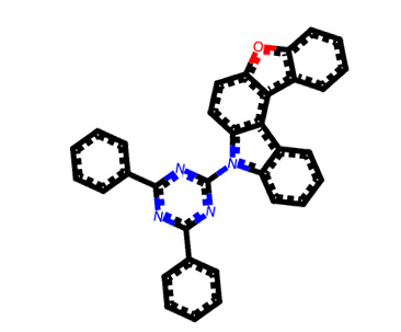 c1ccc(-c2nc(-c3ccccc3)nc(-n3c4ccccc4c4c5c(ccc43)oc3ccccc35)n2)cc1